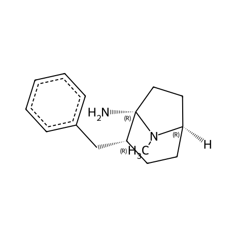 CN1[C@@H]2CC[C@H](Cc3ccccc3)[C@@]1(N)CC2